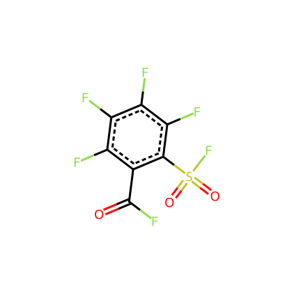 O=C(F)c1c(F)c(F)c(F)c(F)c1S(=O)(=O)F